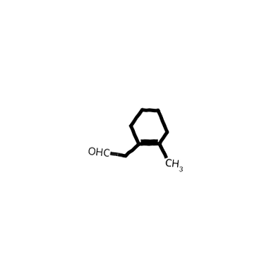 CC1=C(CC=O)CCCC1